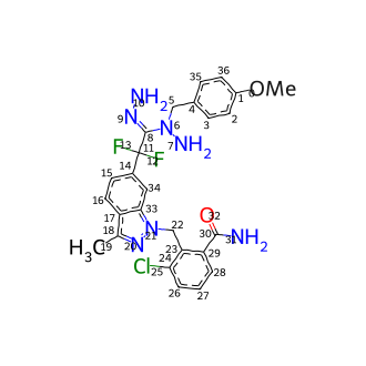 COc1ccc(CN(N)/C(=N\N)C(F)(F)c2ccc3c(C)nn(Cc4c(Cl)cccc4C(N)=O)c3c2)cc1